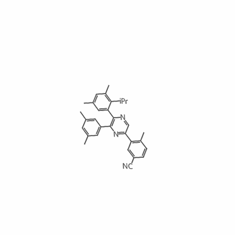 Cc1cc(C)cc(-c2nc(-c3cc(C#N)ccc3C)cnc2-c2cc(C)cc(C)c2C(C)C)c1